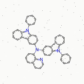 c1ccc(-n2c3ccccc3c3cc(N(c4ccc5c(c4)c4ccccc4n5-c4ccccc4)c4cccc5cccnc45)ccc32)cc1